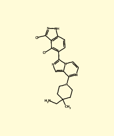 CC1(CN)CCN(c2nccn3c(-c4ccc5[nH]nc(Cl)c5c4Cl)ncc23)CC1